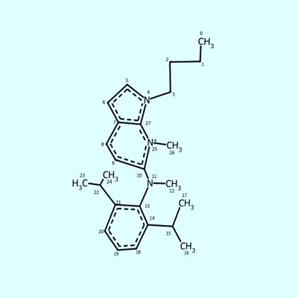 CCCCn1ccc2ccc(N(C)c3c(C(C)C)cccc3C(C)C)[n+](C)c21